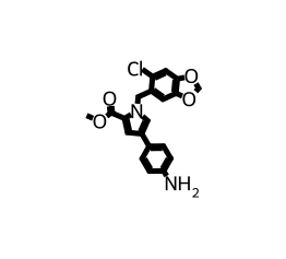 COC(=O)c1cc(-c2ccc(N)cc2)cn1Cc1cc2c(cc1Cl)OCO2